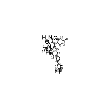 Cc1ccc(C2=C(C(N)=O)C(=O)N(C3CC3)[C@@](c3ccc(OCCCC(F)(F)F)cc3)(C(F)(F)F)C2)cc1